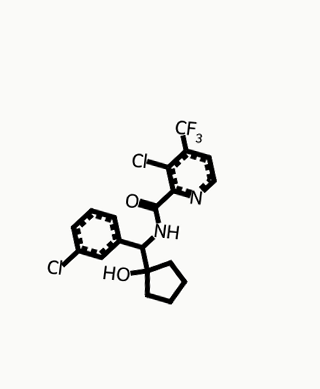 O=C(NC(c1cccc(Cl)c1)C1(O)CCCC1)c1nccc(C(F)(F)F)c1Cl